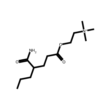 CCCC(CCC(=O)OCC[N+](C)(C)C)C(N)=O